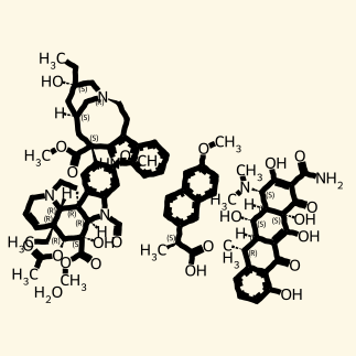 CC[C@]1(O)C[C@H]2C[N@](CCc3c([nH]c4ccccc34)[C@@](C(=O)OC)(c3cc4c(cc3OC)N(C=O)[C@H]3[C@@](O)(C(=O)OC)[C@H](OC(C)=O)[C@]5(CC)C=CCN6CC[C@]43[C@@H]65)C2)C1.COc1ccc2cc([C@H](C)C(=O)O)ccc2c1.C[C@H]1c2cccc(O)c2C(=O)C2=C(O)[C@]3(O)C(=O)C(C(N)=O)=C(O)[C@@H](N(C)C)[C@@H]3[C@@H](O)[C@@H]21.O